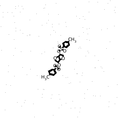 Cc1ccc(S(=O)(=O)O[C@@H]2COC3C2OC[C@H]3OS(=O)(=O)c2ccc(C)cc2)cc1